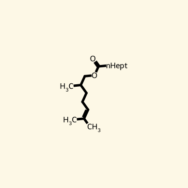 CCCCCCCC(=O)OCC(C)CCC=C(C)C